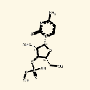 CO[C@H]1C(OP(O)(=S)OC(C)(C)C)[C@@H](CC(C)(C)C)O[C@H]1n1ccc(N)nc1=O